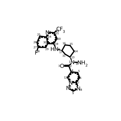 NN(C(=O)c1ccc2ncnn2c1)[C@@H]1CCC[C@H](Nc2cc(C(F)(F)F)nc3ccc(F)cc23)C1